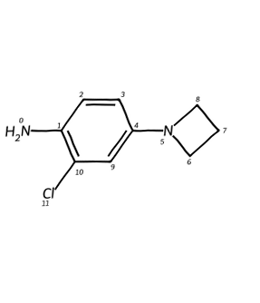 Nc1ccc(N2CCC2)cc1Cl